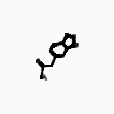 NC(=O)Cc1ccc2nn[nH]c2c1